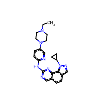 CCN1CCN(c2ccc(Nc3ncc4ccc5cnn(C6CC6)c5c4n3)nc2)CC1